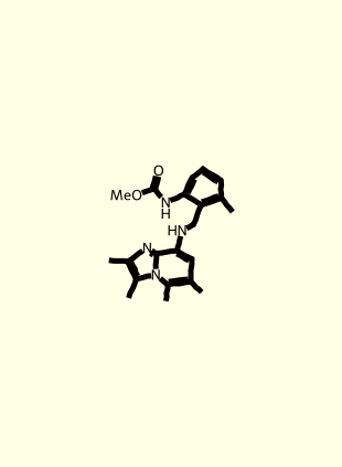 COC(=O)Nc1cccc(C)c1CNc1cc(C)c(C)n2c(C)c(C)nc12